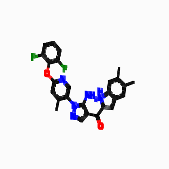 Cc1cc2cc(C(=O)c3cnn(-c4cnc(Oc5c(F)cccc5F)cc4C)c3N)[nH]c2cc1C